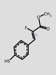 COC(=O)/C(F)=C/c1ccc(S)cc1